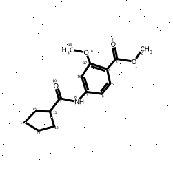 COC(=O)c1ccc(NC(=O)C2CCCC2)cc1OC